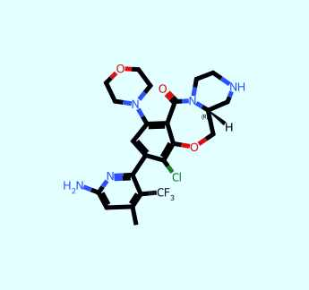 Cc1cc(N)nc(-c2cc(N3CCOCC3)c3c(c2Cl)OC[C@H]2CNCCN2C3=O)c1C(F)(F)F